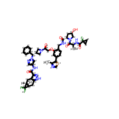 Cc1ncsc1-c1ccc(CNC(=O)[C@@H]2C[C@@H](O)CN2C(=O)C(NC(=O)C2(F)CC2)C(C)(C)C)c(OCC(=O)N2CC([C@@H](c3ccccc3)n3cc(NC(=O)c4n[nH]c5c4C[C@@H]4C(F)(F)[C@]4(C)C5)cn3)C2)c1